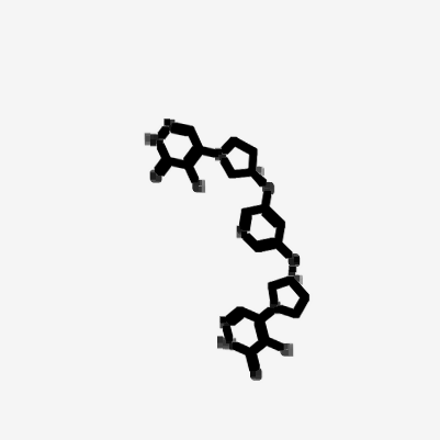 O=c1[nH]ncc(N2CC[C@@H](Oc3cncc(O[C@@H]4CCN(c5cn[nH]c(=O)c5Cl)C4)c3)C2)c1Cl